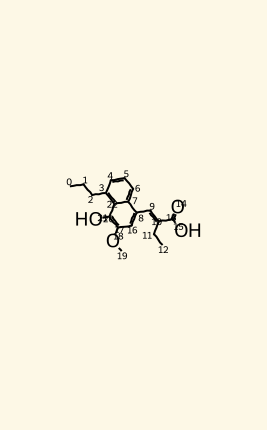 CCCc1cccc2c(/C=C(\CC)C(=O)O)cc(OC)c(O)c12